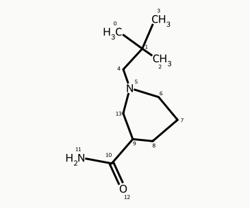 CC(C)(C)CN1CCCC(C(N)=O)C1